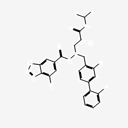 CC(C)OC(=O)[C@H](O)CN(Cc1ccc(-c2ccccc2F)cc1Cl)NC(=O)c1cc(Cl)c2nn[nH]c2c1